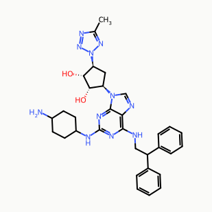 Cc1nnn([C@H]2C[C@@H](n3cnc4c(NCC(c5ccccc5)c5ccccc5)nc(NC5CCC(N)CC5)nc43)[C@H](O)[C@@H]2O)n1